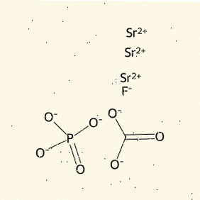 O=C([O-])[O-].O=P([O-])([O-])[O-].[F-].[Sr+2].[Sr+2].[Sr+2]